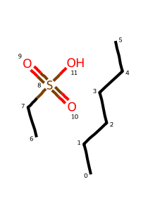 CCCCCC.CCS(=O)(=O)O